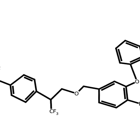 CCOc1ccc(C(COCc2ccc(F)c(Oc3ccccc3)c2)C(F)(F)F)cc1